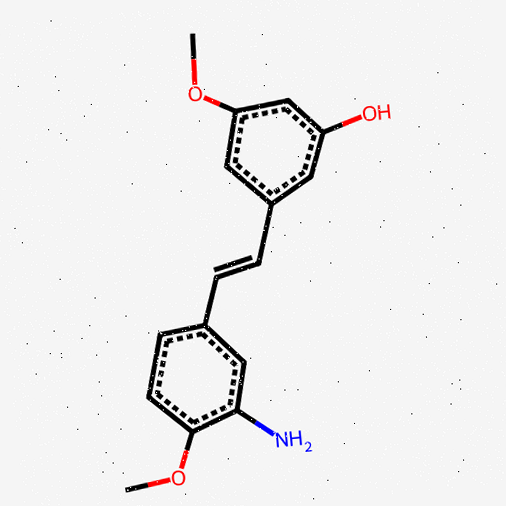 COc1cc(O)cc(C=Cc2ccc(OC)c(N)c2)c1